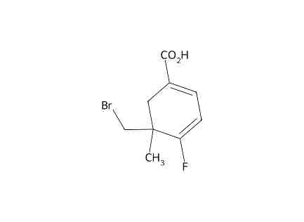 CC1(CBr)CC(C(=O)O)=CC=C1F